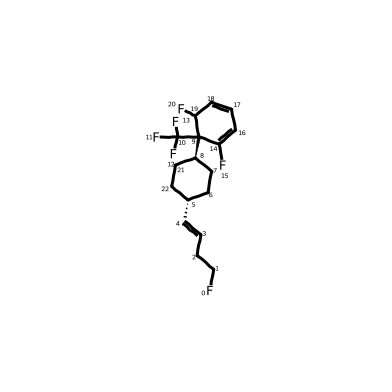 FCCC=C[C@H]1CC[C@H](C2(C(F)(F)F)C(F)=CC=CC2F)CC1